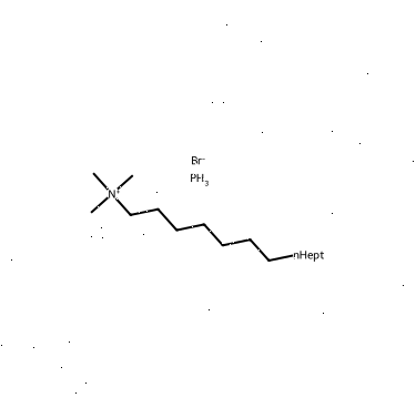 CCCCCCCCCCCCCC[N+](C)(C)C.P.[Br-]